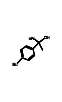 CCCC(C)(O)c1ccc(C(C)CC)cc1